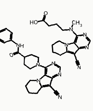 CN(CCCC(=O)O)c1ncnc2c(C#N)c3n(c12)CCCC3.N#Cc1c2n(c3c(N4CCC(C(=O)Nc5ccccc5)CC4)ncnc13)CCCC2